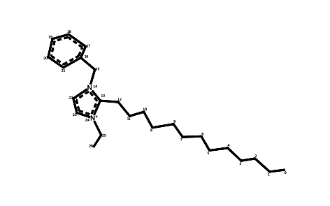 CCCCCCCCCCCCCc1n(Cc2ccccc2)cc[n+]1CC